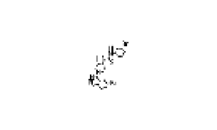 S=C(Nc1cccc(Br)c1)NC1CCN(c2nncc3ccc(Br)cc23)CC1